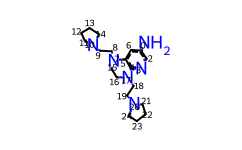 Nc1cnc2c(c1)N(CCN1CCCC1)CCN2CCN1CCCC1